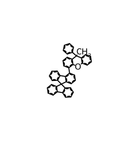 CC1(c2ccccc2)c2ccccc2Oc2c(-c3cccc4c3-c3ccccc3C43c4ccccc4-c4ccccc43)cccc21